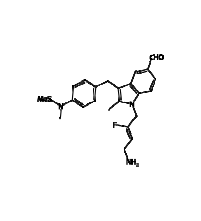 CSN(C)c1ccc(Cc2c(C)n(C/C(F)=C/CN)c3ccc(C=O)cc23)cc1